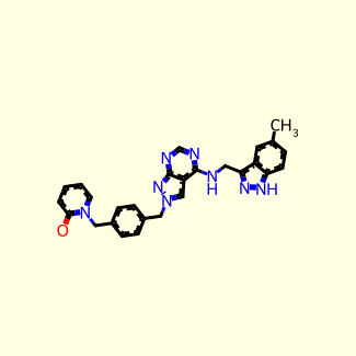 Cc1ccc2[nH]nc(CNc3ncnc4nn(Cc5ccc(Cn6ccccc6=O)cc5)cc34)c2c1